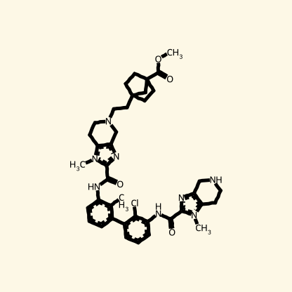 COC(=O)C12CCC(CCN3CCc4c(nc(C(=O)Nc5cccc(-c6cccc(NC(=O)c7nc8c(n7C)CCNC8)c6Cl)c5C)n4C)C3)(CC1)C2